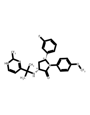 CC(C)(N[C@@H]1C[C@H](c2cccc(F)c2)N(c2ccc(OC(F)(F)F)cc2)C1=O)C1=NC(C(F)(F)F)NC=C1